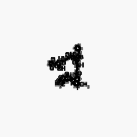 CC[C@@]1(O)C(=O)OCc2c1cc1n(c2=O)Cc2c-1nc1cc(F)c(C)c3c1c2[C@@H](NC(=O)CCCNC(=O)CNC(=O)[C@H](Cc1ccccc1)NC(=O)CNC(=O)CNC(=O)CN(CCN1C(=O)C=CC1=O)CC(=O)O)CC3